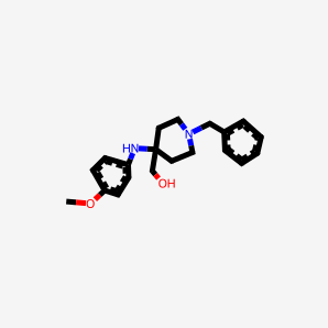 COc1ccc(NC2(CO)CCN(Cc3ccccc3)CC2)cc1